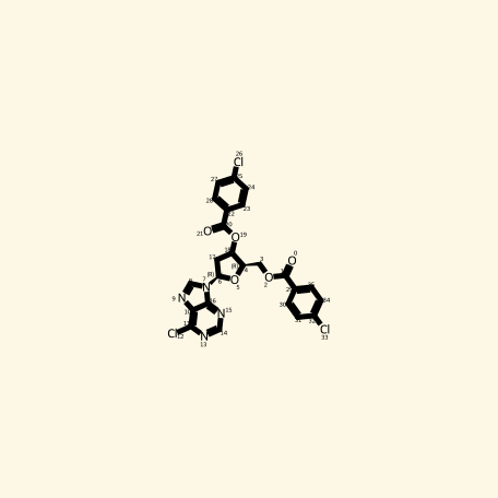 O=C(OC[C@H]1O[C@@H](n2cnc3c(Cl)ncnc32)CC1OC(=O)c1ccc(Cl)cc1)c1ccc(Cl)cc1